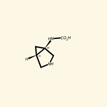 O=C(O)N[C@@]12CNC[C@@H]1C2